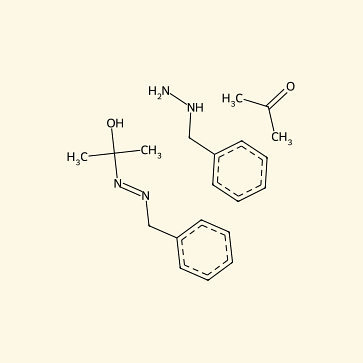 CC(C)(O)N=NCc1ccccc1.CC(C)=O.NNCc1ccccc1